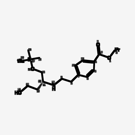 CC(C)OC(=O)c1ccc(CCN[C@H](CCO)CO[Si](C)(C)C(C)(C)C)cc1